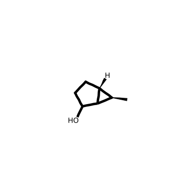 C[C@H]1C2C(O)CC[C@@H]21